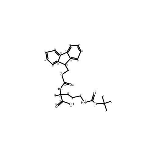 CC(C)(C)OC(=O)NCCCC(C)(NC(=O)OCC1c2ccccc2-c2ccccc21)C(=O)O